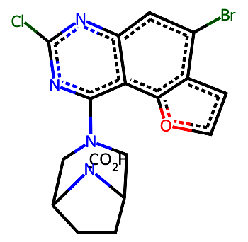 O=C(O)N1C2CCC1CN(c1nc(Cl)nc3cc(Br)c4ccoc4c13)C2